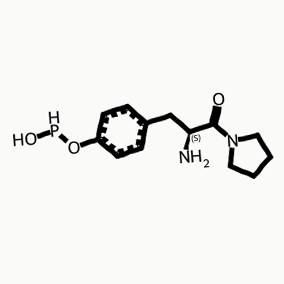 N[C@@H](Cc1ccc(OPO)cc1)C(=O)N1CCCC1